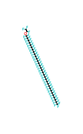 FC(F)=C(F)OC(F)(F)C(F)(F)C(F)(F)C(F)(F)C(F)(F)C(F)(F)C(F)(F)C(F)(F)C(F)(F)C(F)(F)C(F)(F)C(F)(F)C(F)(F)C(F)(F)C(F)(F)C(F)(F)C(F)(F)C(F)(F)C(F)(F)C(F)(F)C(F)(F)C(F)(F)C(F)(F)C(F)(F)C(F)(F)C(F)(F)C(F)(F)C(F)(F)C(F)(F)C(F)(F)C(F)(F)F